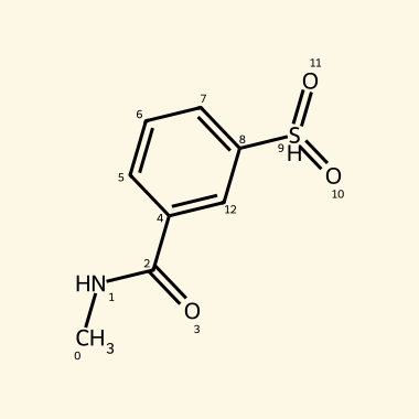 CNC(=O)c1cccc([SH](=O)=O)c1